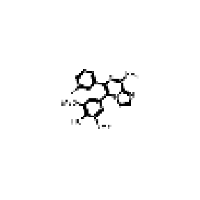 COc1cc(-c2c(-c3cccc(F)c3)nc(N)c3nccn23)cc(OC)c1O